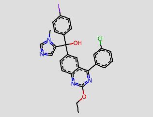 CCOc1nc(-c2cccc(Cl)c2)c2cc(C(O)(c3ccc(I)cc3)c3cncn3C)ccc2n1